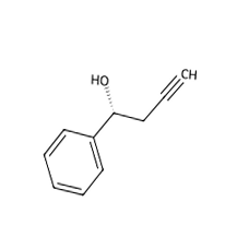 C#CC[C@@H](O)c1ccccc1